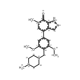 COc1cc(-c2cn(C)c(=O)c3[nH]ncc23)cc(OC)c1CN1CCN(C)CC1